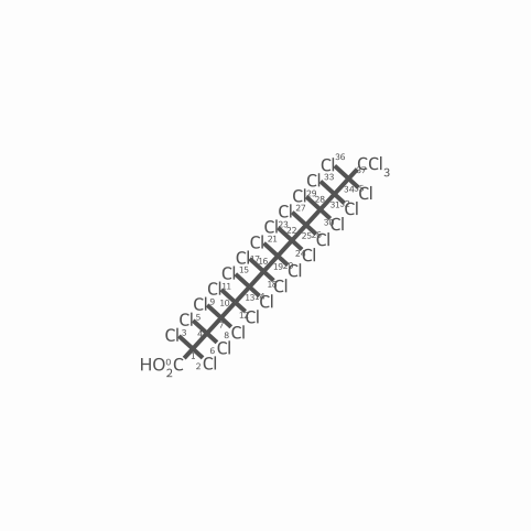 O=C(O)C(Cl)(Cl)C(Cl)(Cl)C(Cl)(Cl)C(Cl)(Cl)C(Cl)(Cl)C(Cl)(Cl)C(Cl)(Cl)C(Cl)(Cl)C(Cl)(Cl)C(Cl)(Cl)C(Cl)(Cl)C(Cl)(Cl)C(Cl)(Cl)Cl